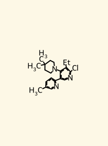 CCc1c(Cl)ncc(-c2ccc(C)cn2)c1N1CCC(C)(C)CC1